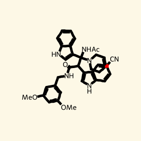 COc1cc(CNC(=O)C(c2c[nH]c3ccc(C#N)cc23)C(NC(C)=O)(c2c[nH]c3ccccc23)N2CC=CCC2)cc(OC)c1